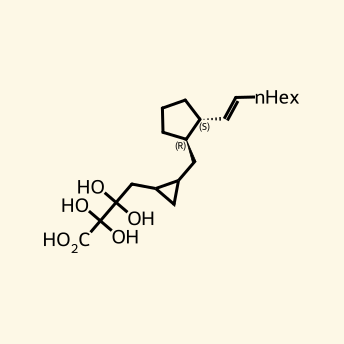 CCCCCCC=C[C@H]1CCC[C@@H]1CC1CC1CC(O)(O)C(O)(O)C(=O)O